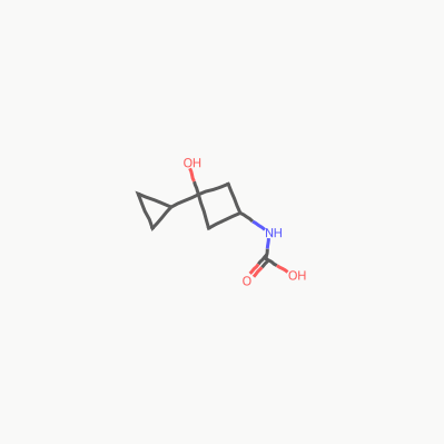 O=C(O)NC1CC(O)(C2CC2)C1